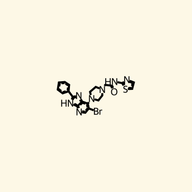 O=C(CN1CCN(c2c(Br)cnc3[nH]c(-c4ccccc4)nc23)CC1)Nc1nccs1